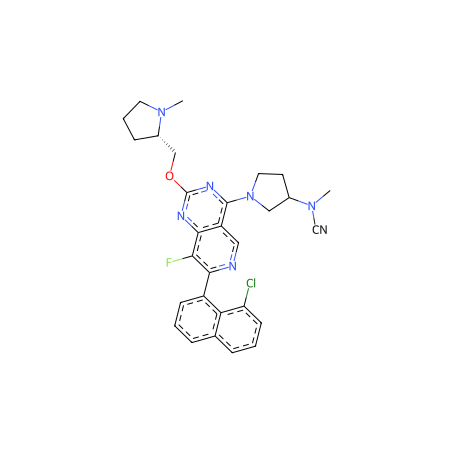 CN(C#N)C1CCN(c2nc(OC[C@@H]3CCCN3C)nc3c(F)c(-c4cccc5cccc(Cl)c45)ncc23)C1